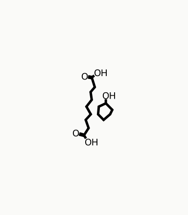 O=C(O)CCCCCCCC(=O)O.OC1CCCCC1